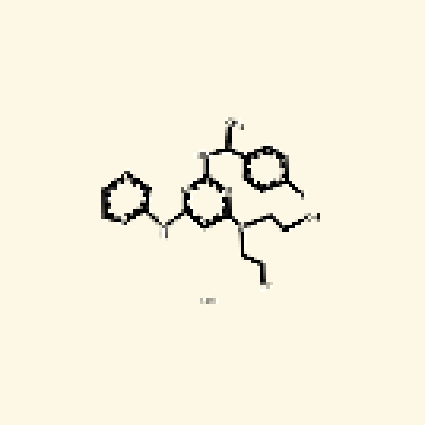 CC(Nc1nc(Nc2cnccn2)cc(N(CCO)CCO)n1)c1ccc(F)cc1.Cl